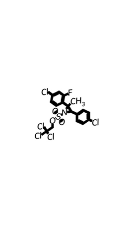 CC1(c2ccc(Cl)cc2F)C(c2ccc(Cl)cc2)N1S(=O)(=O)OCC(Cl)(Cl)Cl